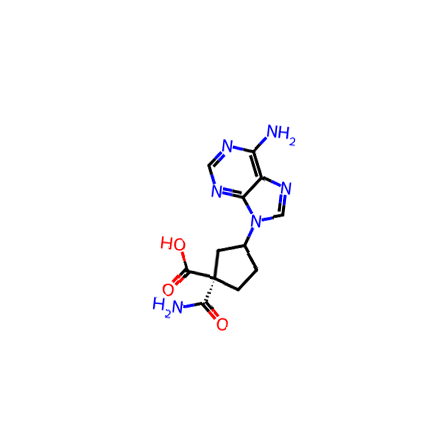 NC(=O)[C@@]1(C(=O)O)CCC(n2cnc3c(N)ncnc32)C1